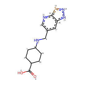 O=C(O)C1CCC(NCc2cnc3snnc3c2)CC1